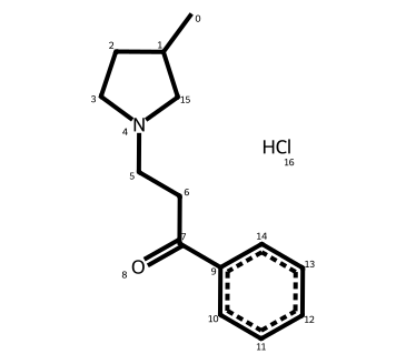 CC1CCN(CCC(=O)c2ccccc2)C1.Cl